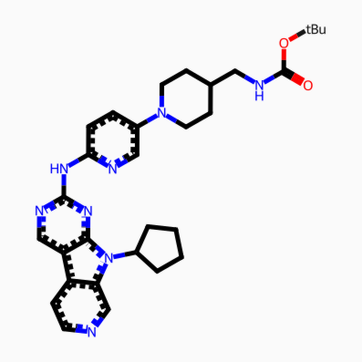 CC(C)(C)OC(=O)NCC1CCN(c2ccc(Nc3ncc4c5ccncc5n(C5CCCC5)c4n3)nc2)CC1